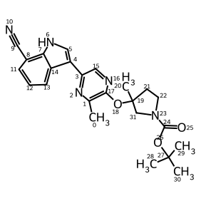 Cc1nc(-c2c[nH]c3c(C#N)cccc23)cnc1OC1(C)CCN(C(=O)OC(C)(C)C)C1